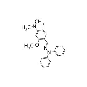 COc1cc(N(C)C)ccc1C=NN(c1ccccc1)c1ccccc1